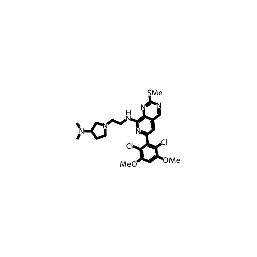 COc1cc(OC)c(Cl)c(-c2cc3cnc(SC)nc3c(NCCN3CCC(N(C)C)C3)n2)c1Cl